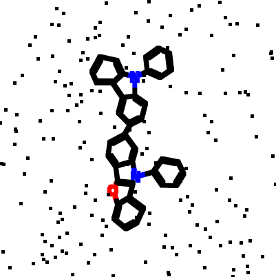 c1ccc(-n2c3ccccc3c3cc(-c4ccc5c6oc7ccccc7c6n(-c6ccccc6)c5c4)ccc32)cc1